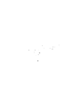 CC(C)CC(=O)Oc1ccc(C(CC(C)OC(=O)CC(C)C)[C@H](N)C(=O)O)cc1OC(=O)CC(C)C